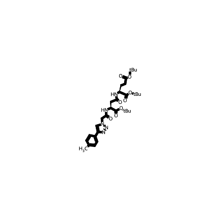 Cc1ccc(-c2cn(CC(=O)N[C@@H](CC(=O)N[C@@H](CCC(=O)OC(C)(C)C)C(=O)OC(C)(C)C)C(=O)OC(C)(C)C)nn2)cc1